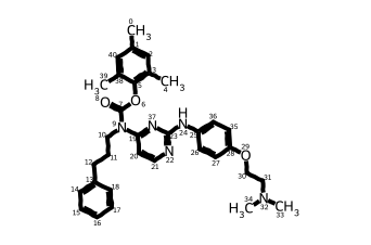 Cc1cc(C)c(OC(=O)N(CCCc2ccccc2)c2ccnc(Nc3ccc(OCCN(C)C)cc3)n2)c(C)c1